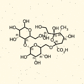 C[C@@H]1[C@H](O)C[C@](OCC2O[C@@H](O[C@@H]3C(CO)OC(O)C(O)[C@H]3O)C(O)[C@@H](O)[C@H]2O)(C(=O)O)O[C@]1(O)[C@H](O)CO